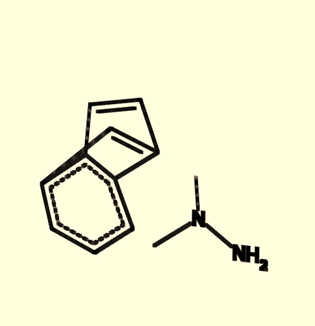 C1=Cc2c3cccc2C1=C3.CN(C)N